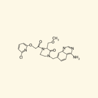 COCC1C(=O)N(Cc2ccc3c(N)ncnc3c2)CCN1C(=O)COc1cccc(Cl)n1